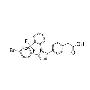 O=C(O)Cc1ccc(-c2ccc(-c3ccc(Br)cc3)n2-c2ccccc2C(F)(F)F)cc1